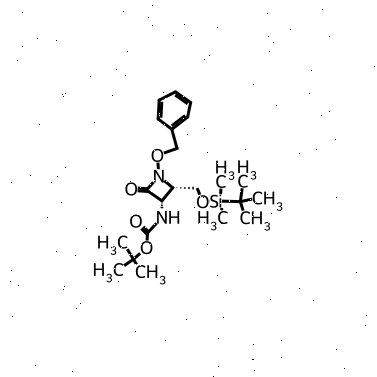 CC(C)(C)OC(=O)N[C@@H]1C(=O)N(OCc2ccccc2)[C@@H]1CO[Si](C)(C)C(C)(C)C